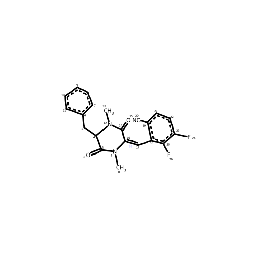 CN1C(=O)C(Cc2ccccc2)N(C)C(=O)/C1=C\c1c(C#N)ccc(F)c1F